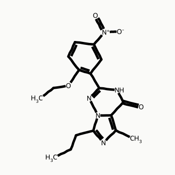 CCCc1nc(C)c2c(=O)[nH]c(-c3cc([N+](=O)[O-])ccc3OCC)nn12